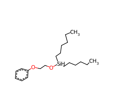 CCCCCC[SiH](CCCCCC)OCCOc1ccccc1